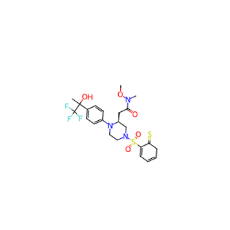 CON(C)C(=O)C[C@H]1CN(S(=O)(=O)C2=CC=CCC2=S)CCN1c1ccc(C(C)(O)C(F)(F)F)cc1